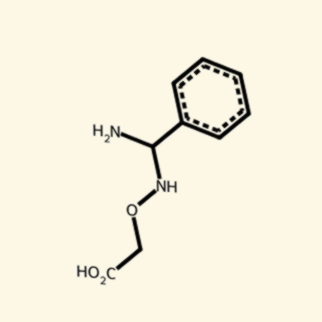 NC(NOCC(=O)O)c1ccccc1